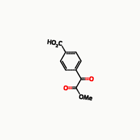 COC(=O)C(=O)c1ccc(C(=O)O)cc1